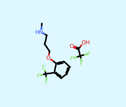 CNCCCOc1c[c]ccc1C(F)(F)F.O=C(O)C(F)(F)F